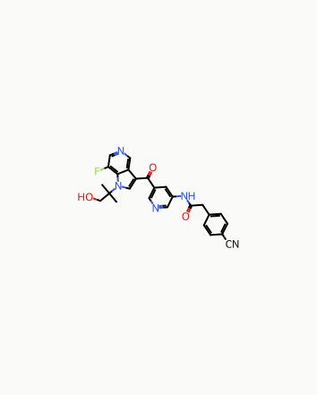 CC(C)(CO)n1cc(C(=O)c2cncc(NC(=O)Cc3ccc(C#N)cc3)c2)c2cncc(F)c21